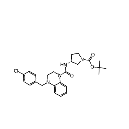 CC(C)(C)OC(=O)N1CC[C@@H](NC(=O)N2CCN(Cc3ccc(Cl)cc3)c3ccccc32)C1